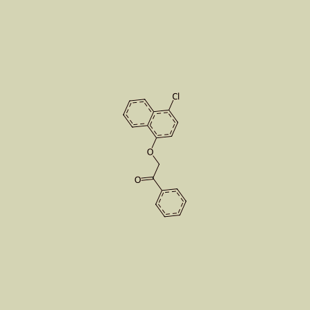 O=C(COc1ccc(Cl)c2ccccc12)c1ccccc1